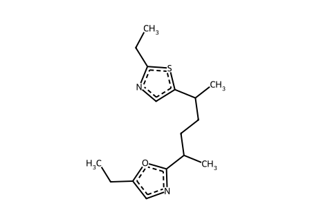 CCc1cnc(C(C)CCC(C)c2cnc(CC)s2)o1